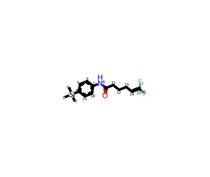 C[Si](C)(C)c1ccc(NC(=O)CCCC=C(F)F)cc1